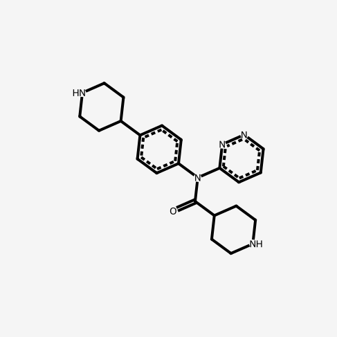 O=C(C1CCNCC1)N(c1ccc(C2CCNCC2)cc1)c1cccnn1